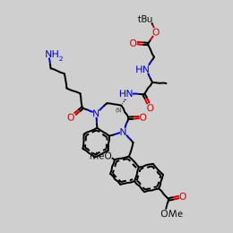 COC(=O)c1ccc2c(CN3C(=O)[C@@H](NC(=O)C(C)NCC(=O)OC(C)(C)C)CN(C(=O)CCCCN)c4ccccc43)c(OC)ccc2c1